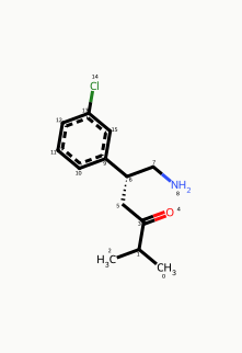 CC(C)C(=O)C[C@@H](CN)c1cccc(Cl)c1